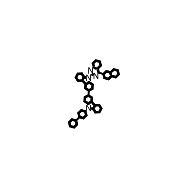 c1ccc(-c2ccc(-n3c4ccccc4c4cc(-c5ccc6c(c5)c5ccccc5n6-c5nc(-c6ccc7ccccc7c6)c6ccccc6n5)ccc43)cc2)cc1